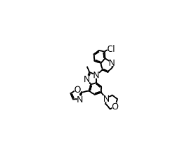 Cc1nc2c(-c3ncco3)cc(N3CCOCC3)cc2n1-c1ccnc2c(Cl)cccc12